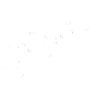 CC(C)C1=C(C(=O)N2[C@H](C)CC[C@H]2C(=O)N2CCN(CCO)[C@@H](C)C2)SC2=N[C@@](C)(c3ccc(Cl)cc3)[C@@H](c3ccc(Cl)cc3)N21